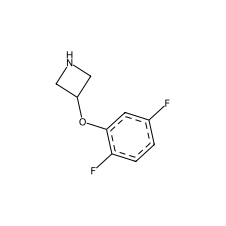 Fc1ccc(F)c(OC2CNC2)c1